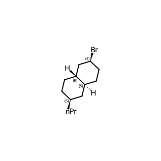 CCC[C@H]1CC[C@@H]2C[C@@H](Br)CC[C@H]2C1